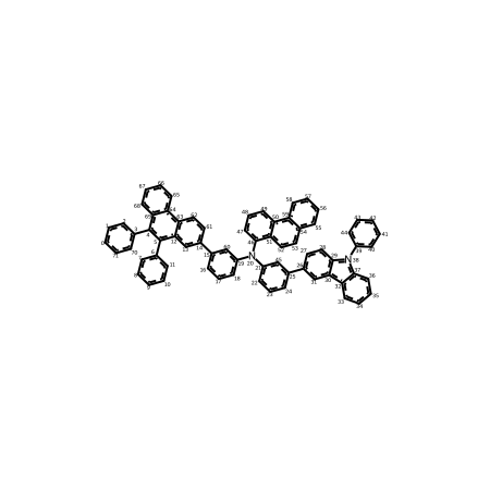 c1ccc(-c2c(-c3ccccc3)c3cc(-c4cccc(N(c5cccc(-c6ccc7c(c6)c6ccccc6n7-c6ccccc6)c5)c5cccc6c5ccc5ccccc56)c4)ccc3c3ccccc23)cc1